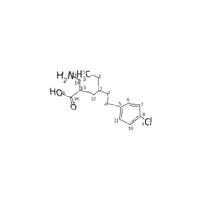 CCC(CCc1ccc(Cl)cc1)CC(CN)C(=O)O